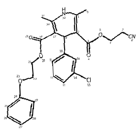 CC1=C(C(=O)OCCC#N)C(c2cccc(Cl)c2)C(C(=O)OCCOc2ccccc2)=C(C)N1